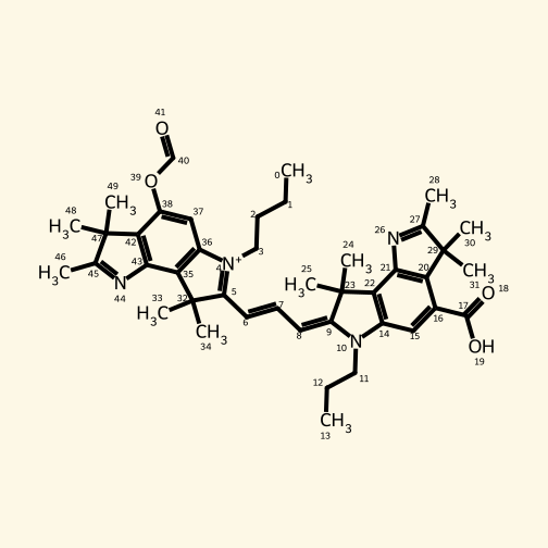 CCCC[N+]1=C(/C=C/C=C2/N(CCC)c3cc(C(=O)O)c4c(c3C2(C)C)N=C(C)C4(C)C)C(C)(C)c2c1cc(OC=O)c1c2N=C(C)C1(C)C